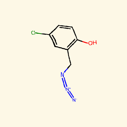 [N-]=[N+]=NCc1cc(Cl)ccc1O